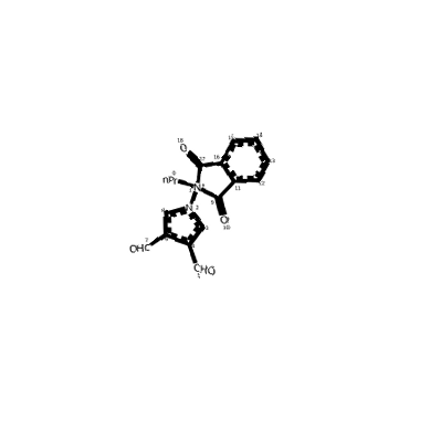 CCC[N+]1(n2cc(C=O)c(C=O)c2)C(=O)c2ccccc2C1=O